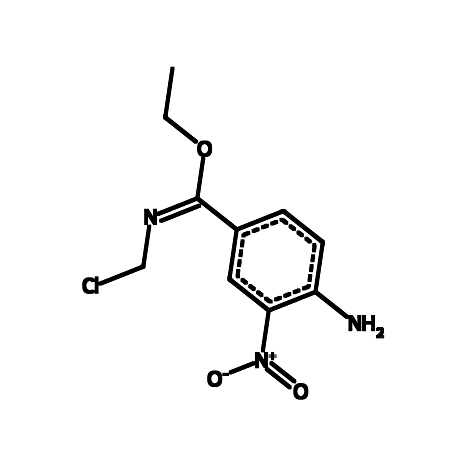 CCO/C(=N/CCl)c1ccc(N)c([N+](=O)[O-])c1